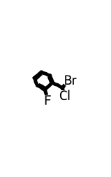 Fc1ccccc1C(Cl)Br